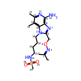 CC(C)=NOCc1nc2c(N)nc(C)c(C)c2n1CCCCNS(C)(=O)=O